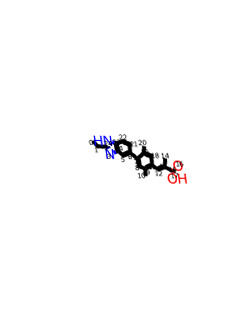 CCc1nc2cc(-c3cc(C)c(/C=C(\C)C(=O)O)cc3C)ccc2[nH]1